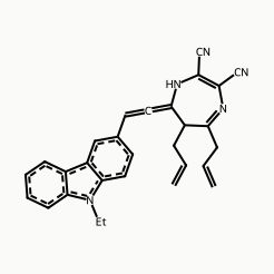 C=CCC1=NC(C#N)=C(C#N)NC(=C=Cc2ccc3c(c2)c2ccccc2n3CC)C1CC=C